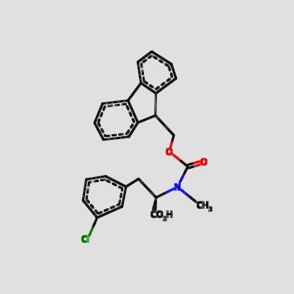 CN(C(=O)OCC1c2ccccc2-c2ccccc21)[C@H](Cc1cccc(Cl)c1)C(=O)O